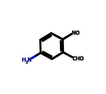 Nc1ccc(N=O)c(C=O)c1